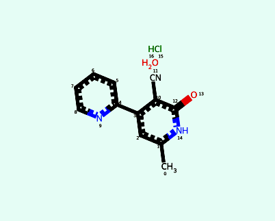 Cc1cc(-c2ccccn2)c(C#N)c(=O)[nH]1.Cl.O